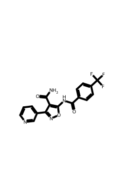 NC(=O)c1c(-c2cccnc2)noc1NC(=O)c1ccc(C(F)(F)F)cc1